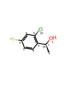 C[C@H](O)c1ccc(F)cc1Cl